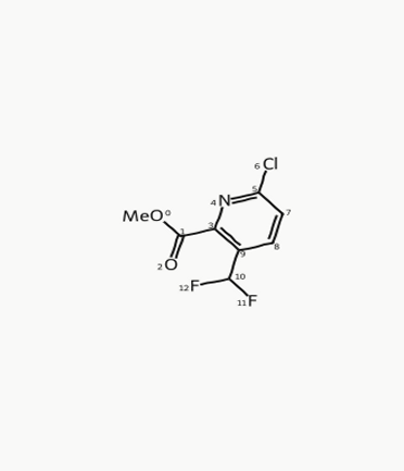 COC(=O)c1nc(Cl)ccc1C(F)F